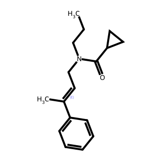 CCCN(C/C=C(\C)c1ccccc1)C(=O)C1CC1